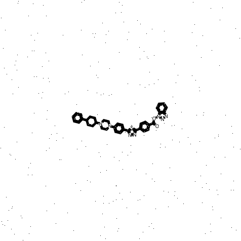 O=C(On1nnc2ccccc21)c1ccc(-c2nnc(-c3ccc(N4CCN(C5CCC(c6ccccc6)CC5)CC4)cc3)s2)cc1